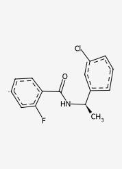 C[C@@H](NC(=O)c1cc[c]cc1F)c1cccc(Cl)c1